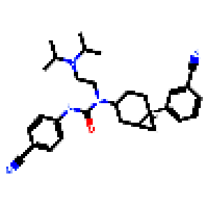 CC(C)N(CCN(C(=O)Nc1ccc(C#N)cc1)C1CC[C@]2(c3cccc(C#N)c3)CC2C1)C(C)C